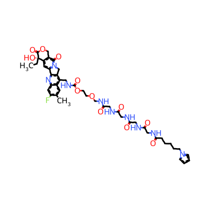 CC[C@@]1(O)C(=O)OCc2c1cc1n(c2=O)Cc2c-1nc1cc(F)c(C)cc1c2CNC(=O)OCCOCNC(=O)CNC(=O)CNC(=O)CNC(=O)CNC(=O)CCCCCn1cccc1